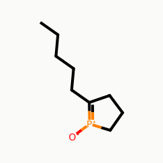 CCCCCC1=[P+]([O-])CCC1